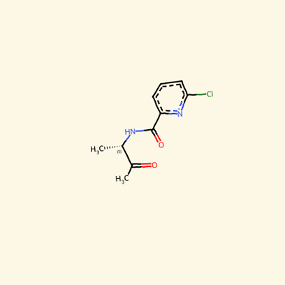 CC(=O)[C@H](C)NC(=O)c1cccc(Cl)n1